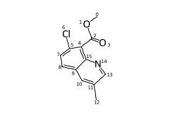 COC(=O)c1c(Cl)ccc2cc(C)cnc12